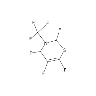 FC1=C(F)C(F)N(C(F)(F)F)C(F)S1